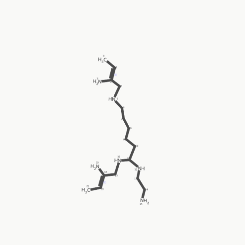 C/C=C(\N)CNCCCCCC(NCCN)NC/C(N)=C/C